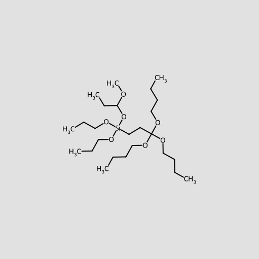 CCCCOC(CC[Si](OCCC)(OCCC)OC(CC)OC)(OCCCC)OCCCC